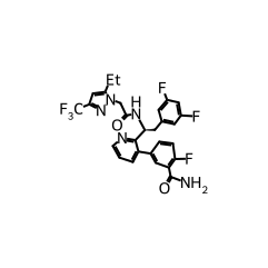 CCc1cc(C(F)(F)F)nn1CC(=O)N[C@@H](Cc1cc(F)cc(F)c1)c1ncccc1-c1ccc(F)c(C(N)=O)c1